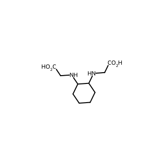 O=C(O)CNC1CCCCC1NCC(=O)O